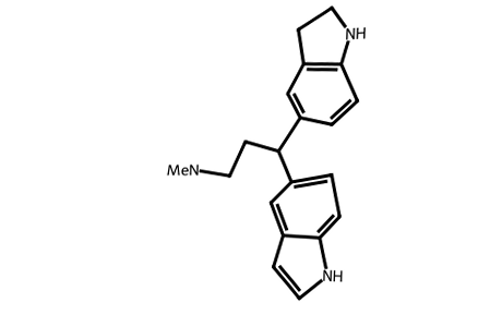 CNCCC(c1ccc2c(c1)CCN2)c1ccc2[nH]ccc2c1